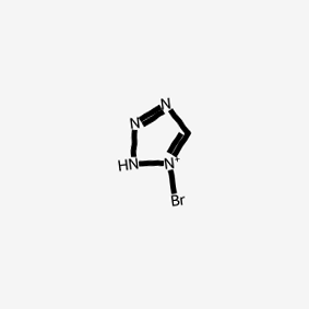 Br[n+]1cnn[nH]1